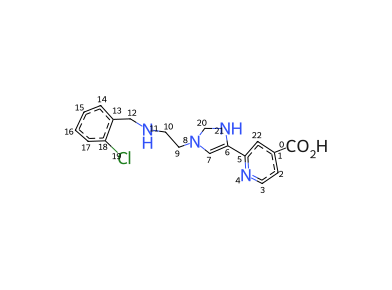 O=C(O)c1ccnc(C2=CN(CCNCc3ccccc3Cl)CN2)c1